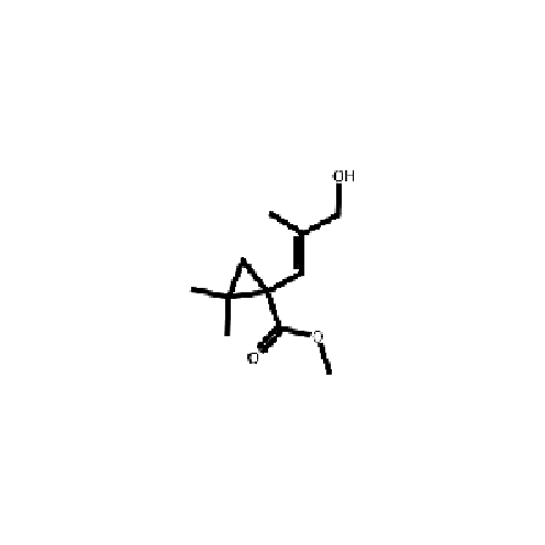 COC(=O)C1(C=C(C)CO)CC1(C)C